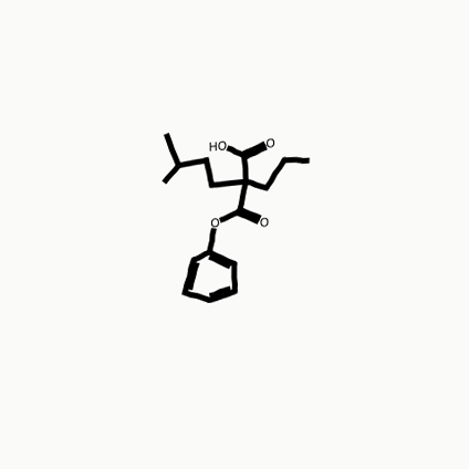 CCCC(CCC(C)C)(C(=O)O)C(=O)Oc1ccccc1